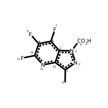 Cc1nn(C(=O)O)c2c(F)c(F)c(F)nc12